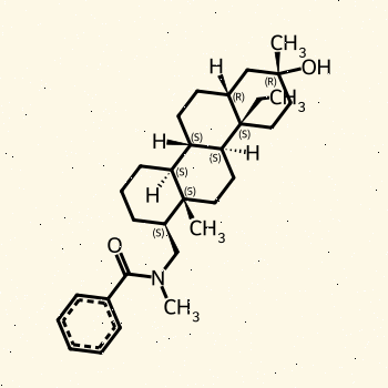 CC[C@]12CC[C@@](C)(O)C[C@H]1CC[C@H]1[C@@H]3CCC[C@H](CN(C)C(=O)c4ccccc4)[C@@]3(C)CC[C@@H]12